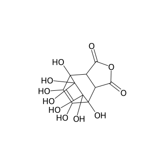 O=C1OC(=O)C2C1C1(O)C(O)=C(O)C2(O)C(O)(O)C1(O)O